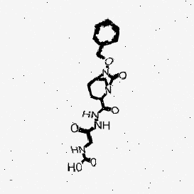 O=C(O)NCC(=O)NNC(=O)C1CCC2CN1C(=O)N2OCc1ccccc1